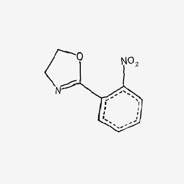 O=[N+]([O-])c1ccccc1C1=NCCO1